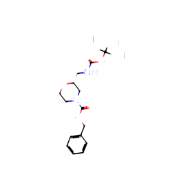 CC(C)(C)OC(=O)NC[C@H]1CN(C(=O)OCc2ccccc2)CCO1